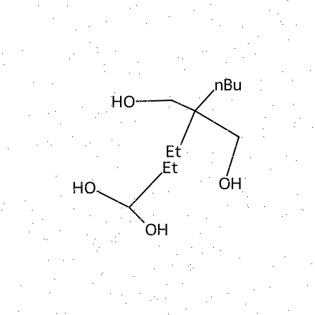 CCC(O)O.CCCCC(CC)(CO)CO